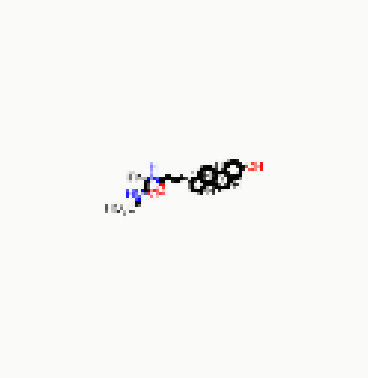 CC(C)[C@H](NC(=O)CCC[C@H]1CC[C@H]2[C@@H]3CC[C@@H]4C[C@H](O)CC[C@]4(C)[C@H]3CC[C@]12C)C(=O)NCC(=O)O